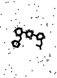 CC(C)Cc1cc(-c2nnc(-c3cccnc3Cc3ccccc3)nn2)ccn1